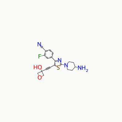 N#Cc1ccc(-c2nc(N3CCC(N)CC3)sc2C#CC2(O)COC2)cc1F